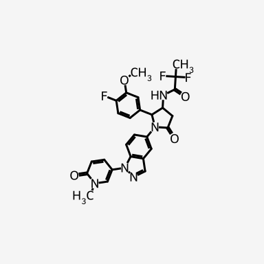 COc1cc(C2C(NC(=O)C(C)(F)F)CC(=O)N2c2ccc3c(cnn3-c3ccc(=O)n(C)c3)c2)ccc1F